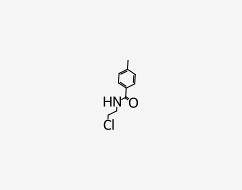 Cc1ccc(C(=O)NCCCl)cc1